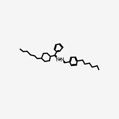 CCCCCCc1ccc(C=NN=C(c2ccccc2)C2CCC(CCCCCC)CC2)cc1